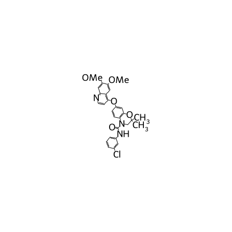 COc1cc2nccc(Oc3ccc4c(c3)OC(C)(C)CN4C(=O)Nc3cccc(Cl)c3)c2cc1OC